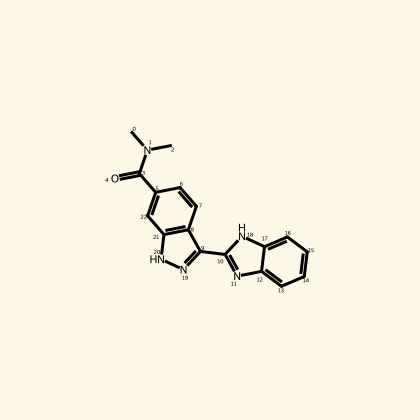 CN(C)C(=O)c1ccc2c(-c3nc4ccccc4[nH]3)n[nH]c2c1